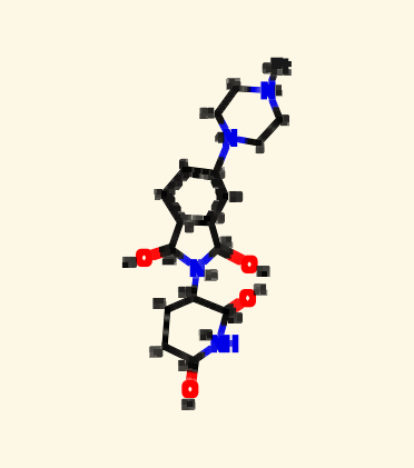 CCN1CCN(c2ccc3c(c2)C(=O)N(C2CCC(=O)NC2=O)C3=O)CC1